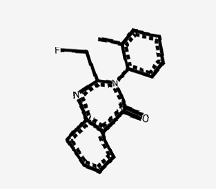 Cc1ccccc1-n1c(CF)nc2ccccc2c1=O